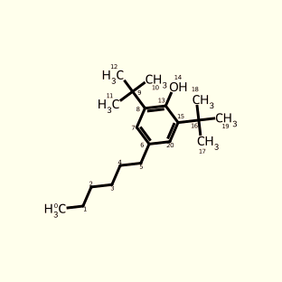 CCCCCCc1cc(C(C)(C)C)c(O)c(C(C)(C)C)c1